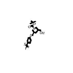 CC(C)(C)OC(=O)N1CC(CO)CC(COc2ccc(C(F)(F)F)cc2)C1